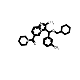 Cc1cccc(C(OCC2CCCCC2)c2c(C)nc3ccc(C(=O)N4CCCCC4)cn23)c1